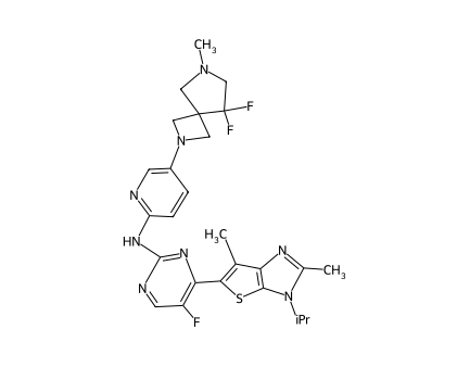 Cc1c(-c2nc(Nc3ccc(N4CC5(CN(C)CC5(F)F)C4)cn3)ncc2F)sc2c1nc(C)n2C(C)C